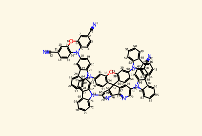 N#Cc1ccc2c(c1)Oc1cc(C#N)ccc1N2c1ccc2c(c1)c1ccccc1n2-c1ccc2c(c1)Oc1cc(-n3c4ccccc4c4ccccc43)ccc1C21c2cc(-n3c4ccccc4c4ccccc43)cnc2-c2ncc(-n3c4ccccc4c4cc(C#N)ccc43)cc21